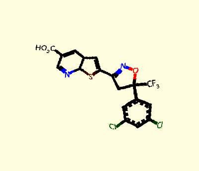 O=C(O)C1=CC2C=C(C3=NOC(c4cc(Cl)cc(Cl)c4)(C(F)(F)F)C3)SC2N=C1